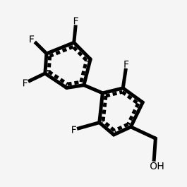 OCc1cc(F)c(-c2cc(F)c(F)c(F)c2)c(F)c1